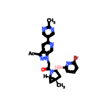 CC(=O)c1nn(CC(=O)N2[C@H](Bc3cccc(Br)n3)C[C@@]3(C)C[C@@H]23)c2cnc(-c3cnc(C)nc3)cc12